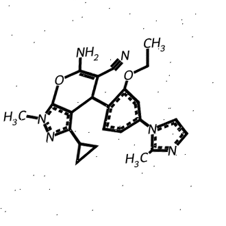 CCOc1cc(-n2ccnc2C)ccc1C1C(C#N)=C(N)Oc2c1c(C1CC1)nn2C